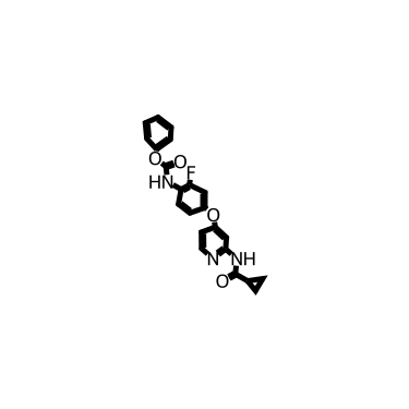 O=C(Nc1ccc(Oc2ccnc(NC(=O)C3CC3)c2)cc1F)Oc1ccccc1